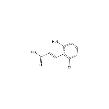 Nc1cccc(Cl)c1C=CC(=O)O